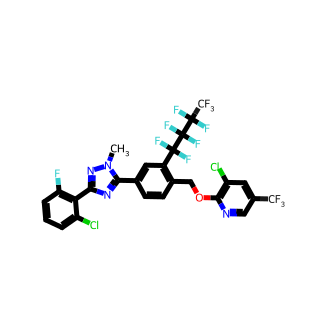 Cn1nc(-c2c(F)cccc2Cl)nc1-c1ccc(COc2ncc(C(F)(F)F)cc2Cl)c(C(F)(F)C(F)(F)C(F)(F)C(F)(F)F)c1